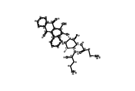 C[C@@H]1O[C@H](Oc2c(O)c3c(c4cccnc24)C(=O)c2ccccc2C3=O)[C@@H](F)[C@H](OC(=O)CCN)[C@@H]1OC(=O)CCN